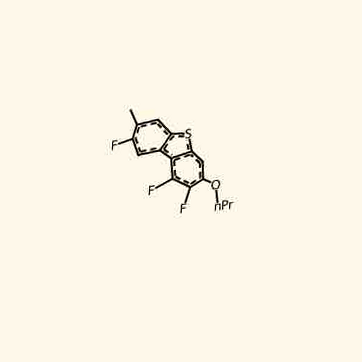 CCCOc1cc2sc3cc(C)c(F)cc3c2c(F)c1F